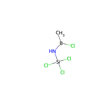 CB(Cl)N[Si](Cl)(Cl)Cl